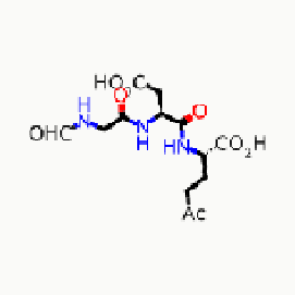 CC(=O)CC[C@H](NC(=O)[C@H](CC(=O)O)NC(=O)CNC=O)C(=O)O